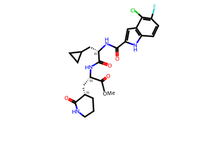 COC(=O)[C@H](C[C@@H]1CCCNC1=O)NC(=O)[C@H](CC1CC1)NC(=O)c1cc2c(Cl)c(F)ccc2[nH]1